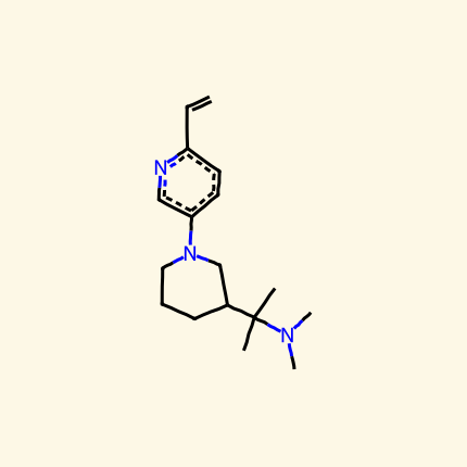 C=Cc1ccc(N2CCCC(C(C)(C)N(C)C)C2)cn1